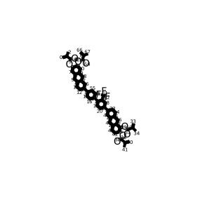 C=C(C)C(=O)Oc1cc2cc3ccc(-c4ccc(-c5ccc(-c6ccc7cc8c(OC(=O)C(=C)C)c(OC(=O)C(=C)C)ccc8cc7c6)cc5C(F)(F)F)cc4)cc3cc2cc1OC(=O)C(=C)C